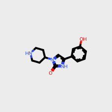 O=c1[nH]c(-c2cccc(O)c2)cn1C1CCNCC1